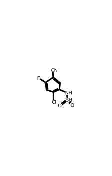 N#Cc1cc(N[SH](=O)=O)c(Cl)cc1F